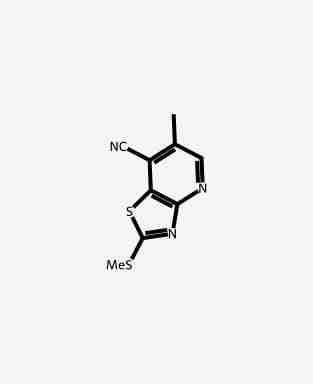 CSc1nc2ncc(C)c(C#N)c2s1